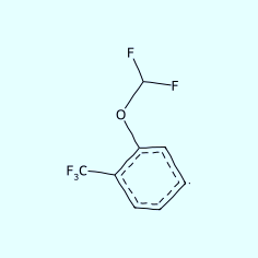 FC(F)Oc1c[c]ccc1C(F)(F)F